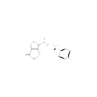 Cc1ccc(S(=O)(=O)OC[C@H](C)C2CCC3C(C)CCC[C@@]32C)cc1